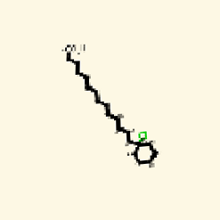 O=C(O)CCCCCCCCCCCCCC1(Cl)CCCCC1